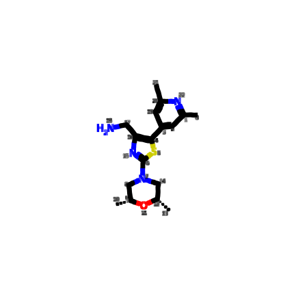 Cc1cc(-c2sc(N3C[C@@H](C)O[C@@H](C)C3)nc2CN)cc(C)n1